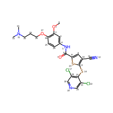 COc1cc(NC(=O)c2cc(C#N)c(Sc3c(Cl)cncc3Cl)s2)ccc1OCCCN(C)C